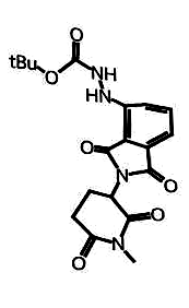 CN1C(=O)CCC(N2C(=O)c3cccc(NNC(=O)OC(C)(C)C)c3C2=O)C1=O